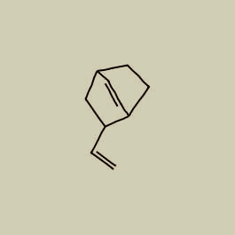 C=CC1CC2C=CC1CC2